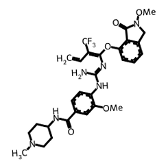 C=C/C(=C(\N=C(/N)Nc1ccc(C(=O)NC2CCN(C)CC2)cc1OC)Oc1cccc2c1C(=O)N(OC)C2)C(F)(F)F